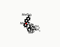 COC(=O)c1ccc2c(CN3C(=O)[C@@H](NC(=O)[C@H](C)N(C)C(=O)OC(C)(C)C)C4(CCOCC4)Oc4ccccc43)c(OC)ccc2c1